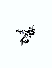 C/C(=N\N1C(N2CCN(C)CC2)=Nc2ccc(C(F)(F)F)cc2C1C)C(F)(F)F